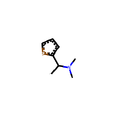 [CH2]C(c1cccs1)N(C)C